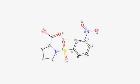 O=C(O)[C@H]1CCCN1S(=O)(=O)c1cccc([N+](=O)[O-])c1